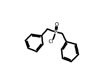 O=P(Cl)(Cc1ccccc1)Cc1ccccc1